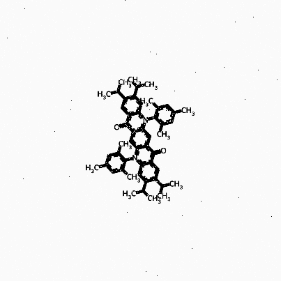 Cc1cc(C)c(-n2c3cc(C(C)C)c(C(C)C)cc3c(=O)c3cc4c(cc32)c(=O)c2cc(C(C)C)c(C(C)C)cc2n4-c2c(C)cc(C)cc2C)c(C)c1